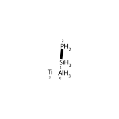 [AlH3].[SiH3]P.[Ti]